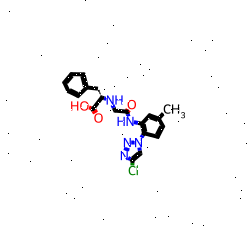 Cc1ccc(-n2cc(Cl)nn2)c(NC(=O)CN[C@@H](Cc2ccccc2)C(=O)O)c1